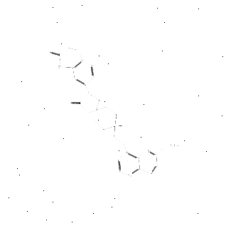 COc1ccc2nccc(CC[C@]3(O)CC[C@@]4(CC3)CN(c3ccc5c(c3)NC(=O)CS5)C(=O)O4)c2n1